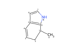 CC1CC=Cc2cc[nH]c21